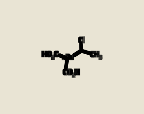 CCCCC(C)Cl.O=C(O)CC(=O)O